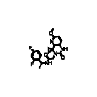 COc1ccc2c(n1)C1(CC1)N(CC(=O)N[C@@H](C)c1ccc(F)cc1F)C(=O)N2